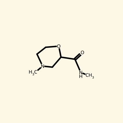 CNC(=O)C1CN(C)CCO1